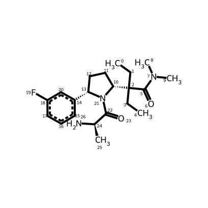 CCC(CC)(C(=O)N(C)C)[C@H]1CC[C@@H](c2cccc(F)c2)N1C(=O)[C@@H](C)N